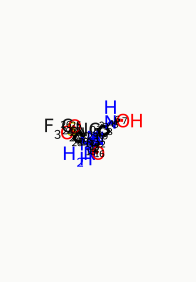 N#CC1CC(NCCO)CCC1n1cc(C(N)=O)c(Nc2ccc(S(=O)(=O)C(F)(F)F)cc2)n1